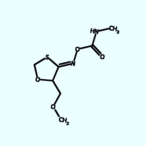 CNC(=O)ON=C1SCOC1COC